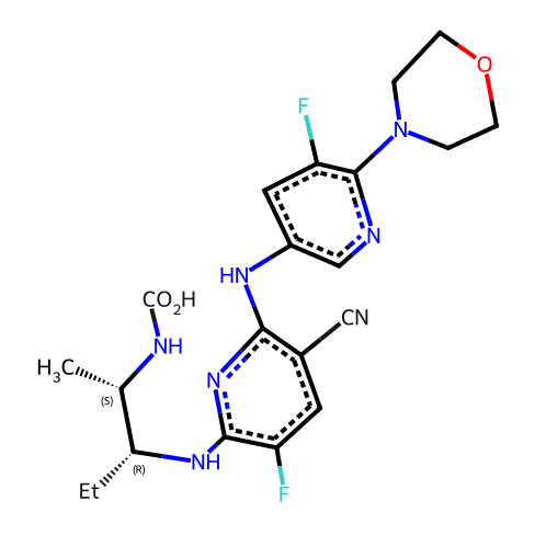 CC[C@@H](Nc1nc(Nc2cnc(N3CCOCC3)c(F)c2)c(C#N)cc1F)[C@H](C)NC(=O)O